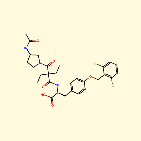 CCC(CC)(C(=O)N[C@@H](Cc1ccc(OCc2c(Cl)cccc2Cl)cc1)C(=O)O)C(=O)N1CC[C@@H](NC(C)=O)C1